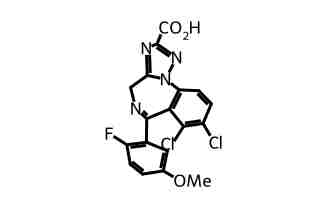 COc1ccc(F)c(C2=NCc3nc(C(=O)O)nn3-c3ccc(Cl)c(Cl)c32)c1